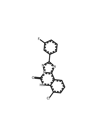 O=c1[nH]c2c(Cl)cccc2c2nc(-c3cccc(F)c3)nn12